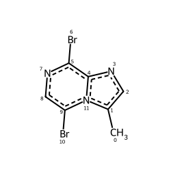 Cc1cnc2c(Br)ncc(Br)n12